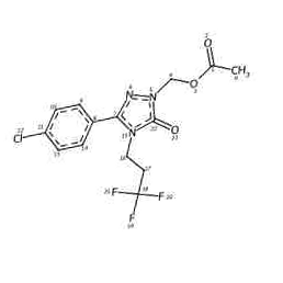 CC(=O)OCn1nc(-c2ccc(Cl)cc2)n(CCC(F)(F)F)c1=O